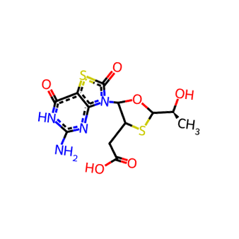 C[C@H](O)C1OC(n2c(=O)sc3c(=O)[nH]c(N)nc32)C(CC(=O)O)S1